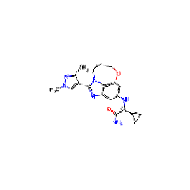 Cc1nn(C)cc1-c1nc2cc(N[C@H](C(N)=O)C3CC3)cc3c2n1CCCO3